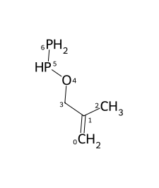 C=C(C)COPP